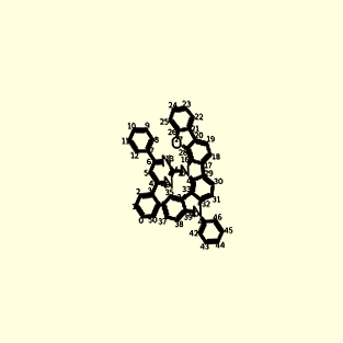 c1ccc(-c2cc(-c3ccccc3)nc(-n3c4c(ccc5c6ccccc6oc54)c4ccc5c(c6ccccc6n5-c5ccccc5)c43)n2)cc1